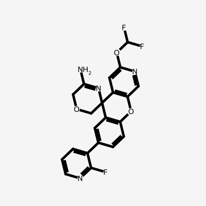 NC1=NC2(COC1)c1cc(-c3cccnc3F)ccc1Oc1cnc(OC(F)F)cc12